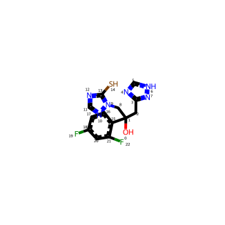 OC(Cc1nc[nH]n1)(Cn1ncnc1S)c1ccc(F)cc1F